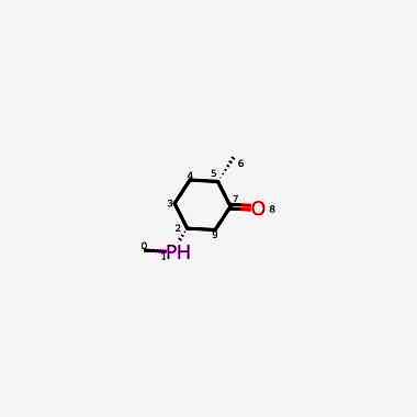 CP[C@@H]1CC[C@H](C)C(=O)C1